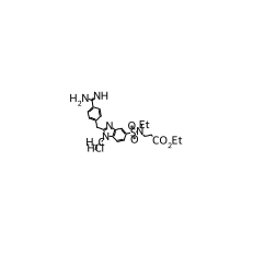 CCOC(=O)CCN(CC)S(=O)(=O)c1ccc2c(c1)nc(Cc1ccc(C(=N)N)cc1)n2C.Cl